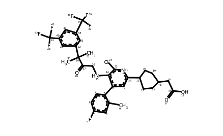 Cc1cc(F)ccc1-c1cc(C2CCC(CC(=O)O)CC2)nc(Cl)c1NCC(=O)C(C)(C)c1cc(C(F)(F)F)cc(C(F)(F)F)c1